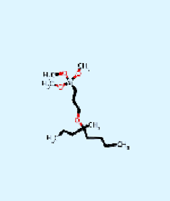 CCCCC(C)(CCC)OCCC[Si](OC)(OC)OC